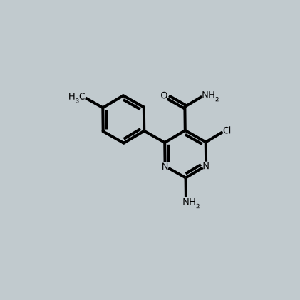 Cc1ccc(-c2nc(N)nc(Cl)c2C(N)=O)cc1